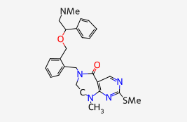 CNCC(OCc1ccccc1CN1CCN(C)c2nc(SC)ncc2C1=O)c1ccccc1